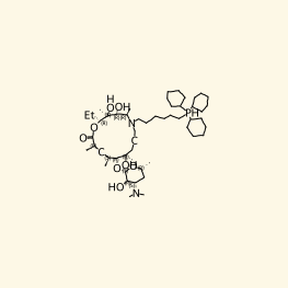 CC[C@H]1OC(=O)[C@H](C)C[C@H](C)[C@@H](O[C@@H]2O[C@H](C)C[C@H](N(C)C)[C@H]2O)[C@](C)(O)CCCN(CCCCCC[PH](C2CCCCC2)(C2CCCCC2)C2CCCCC2)[C@H](C)[C@@H](O)[C@]1(C)O